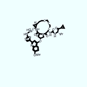 COc1ccc2c(O[C@@H]3C[C@H]4C(=O)N[C@]5(C(=O)O)C[C@@H]5CCCCCCC[C@H](NC(=O)N[C@H](C(=O)C5CC5)C(C)C)C(=O)N4C3)cc(-c3csc(NC(C)C)n3)nc2c1